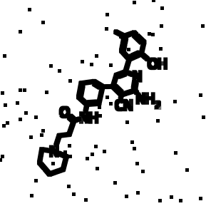 Cc1ccc(O)c(-c2cc(-c3cccc(NC(=O)CCN4CCCCC4)c3)c(C#N)c(N)n2)c1